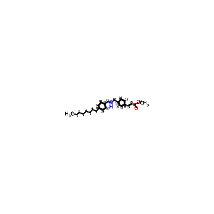 CCCCCCCCc1ccc(CNCc2ccc(/C=C/C(=O)OC)cc2)cc1